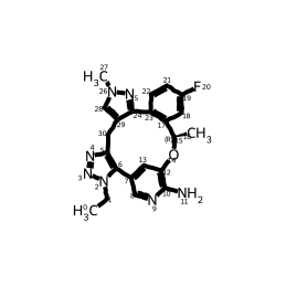 CCn1nnc2c1-c1cnc(N)c(c1)O[C@H](C)c1cc(F)ccc1-c1nn(C)cc1C2